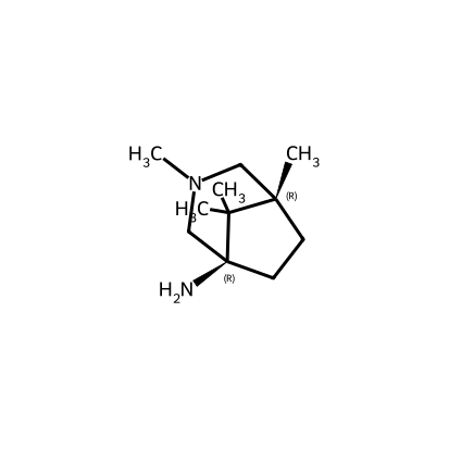 CN1C[C@]2(C)CC[C@](N)(C1)C2(C)C